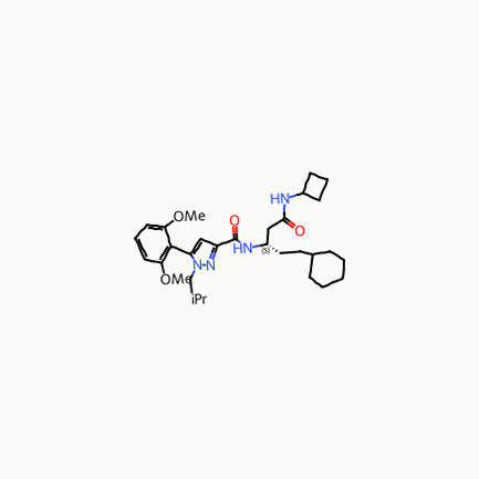 COc1cccc(OC)c1-c1cc(C(=O)N[C@@H](CCC2CCCCC2)CC(=O)NC2CCC2)nn1CC(C)C